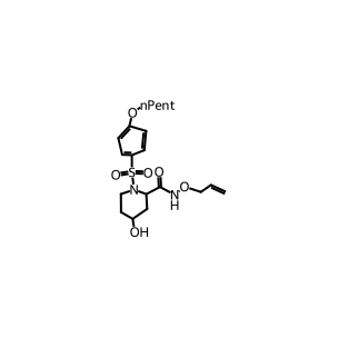 C=CCONC(=O)C1CC(O)CCN1S(=O)(=O)c1ccc(OCCCCC)cc1